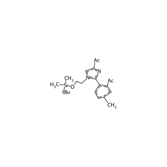 CC(=O)c1cn(CCO[Si](C)(C)C(C)(C)C)c(-c2ccc(C)cc2C(C)=O)n1